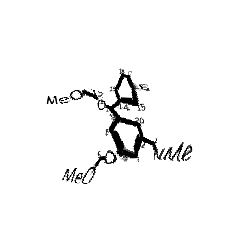 CNCc1cc(OCOC)cc(C(OCOC)c2ccccc2)c1